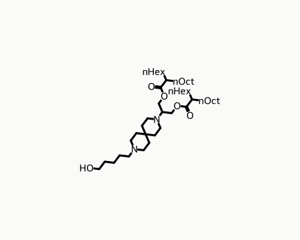 CCCCCCCCC(CCCCCC)C(=O)OCC(COC(=O)C(CCCCCC)CCCCCCCC)N1CCC2(CCN(CCCCCO)CC2)CC1